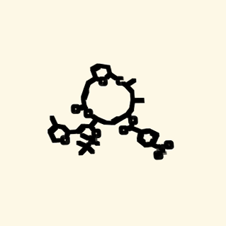 C=C1CC(C)CC2CC=CC(C/C=C\C(=O)OC(C(/C=C/C3CC(C)=CCO3)O[Si](C)(C)C(C)(C)C)C/C=C\C(OC(=O)c3ccc([N+](=O)[O-])cc3)C1)O2